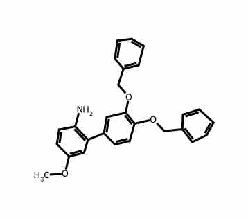 COc1ccc(N)c(-c2ccc(OCc3ccccc3)c(OCc3ccccc3)c2)c1